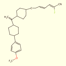 C=C(C1CCC(CCC=CC=C(F)C#N)CC1)C1CCC(c2ccc(OC(F)(F)F)cc2)CC1